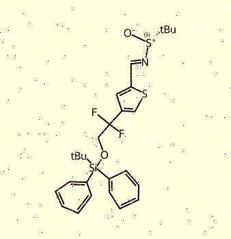 CC(C)(C)[S@@+]([O-])/N=C/c1cc(C(F)(F)CO[Si](c2ccccc2)(c2ccccc2)C(C)(C)C)cs1